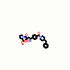 COC(=O)C1CCCN1C(=O)C1(C)CC(c2ccc(C(=O)N3CCC(Cc4ccccc4)CC3)cc2)=NO1